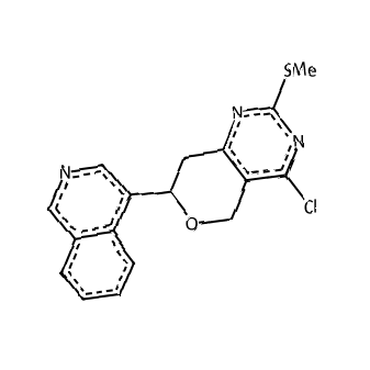 CSc1nc(Cl)c2c(n1)CC(c1cncc3ccccc13)OC2